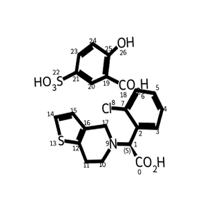 O=C(O)[C@H](c1ccccc1Cl)N1CCc2sccc2C1.O=C(O)c1cc(S(=O)(=O)O)ccc1O